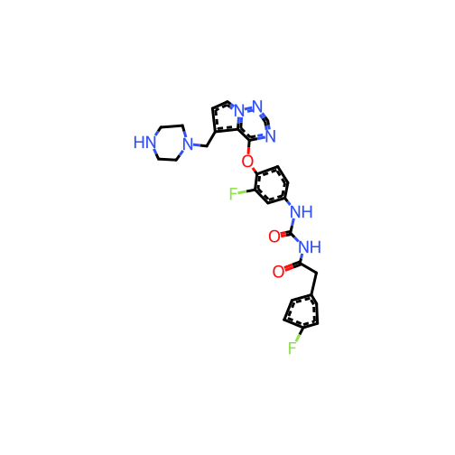 O=C(Cc1ccc(F)cc1)NC(=O)Nc1ccc(Oc2ncnn3ccc(CN4CCNCC4)c23)c(F)c1